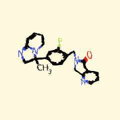 CC1(c2ccc(CN3Cc4ncccc4C3=O)c(F)c2)CN=C2C=CC=CN21